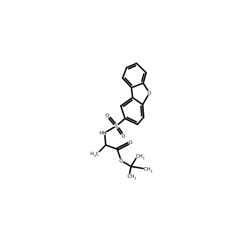 CC(NS(=O)(=O)c1ccc2oc3ccccc3c2c1)C(=O)OC(C)(C)C